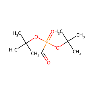 CC(C)(C)OP(=O)(C=O)OC(C)(C)C